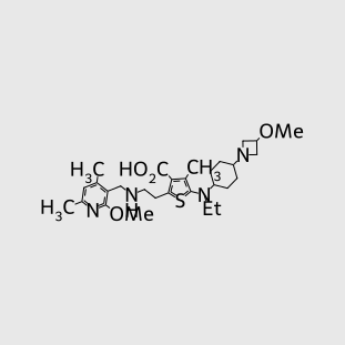 CCN(c1sc(CCNCc2c(C)cc(C)nc2OC)c(C(=O)O)c1C)C1CCC(N2CC(OC)C2)CC1